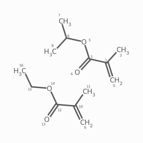 C=C(C)C(=O)OC(C)C.C=C(C)C(=O)OCC